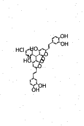 Cl.O=c1oc(C=Cc2ccc(O)c(O)c2)cc(O)c1C(c1ccccn1)c1c(O)cc(C=Cc2ccc(O)c(O)c2)oc1=O